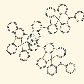 c1ccc(N2c3ccccc3C3(c4ccccc4-c4c(-c5cccc6c(-c7cc8ccccc8c8c7C7(c9ccccc9-c9ccccc97)c7ccccc7-8)c7cccc(-c8cccc9c8-c8ccccc8C98c9ccccc9N(c9ccccc9)c9ccccc98)c7cc56)cccc43)c3ccccc32)cc1